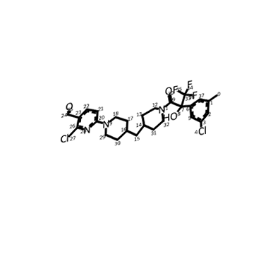 Cc1cc(Cl)cc(C(O)(C(=O)N2CCC(CC3CCN(c4ccc(C=O)c(Cl)n4)CC3)CC2)C(F)(F)F)c1